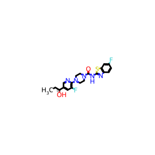 CC[C@H](O)c1cnc(N2CCN(C(=O)Nc3nc4ccc(F)cc4s3)CC2)c(F)c1